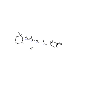 Br.CCN(CC)C(C)OC(=O)/C=C(C)/C=C/C=C(C)/C=C/C1=C(C)CCCC1(C)C